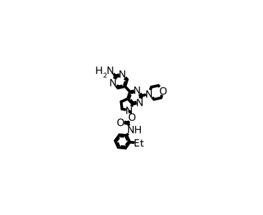 CCc1ccccc1NC(=O)ON1CCc2c(-c3cnc(N)nc3)nc(N3CCOCC3)nc21